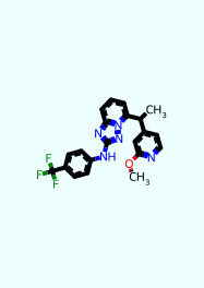 COc1cc(C(C)c2cccc3nc(Nc4ccc(C(F)(F)F)cc4)nn23)ccn1